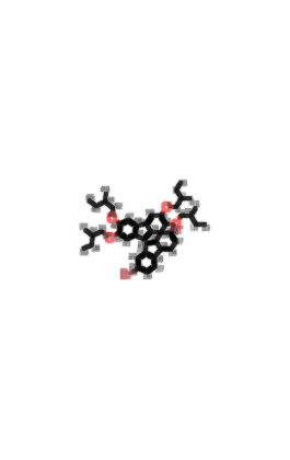 CCC(C)COC1=C(OCC(C)CC)C2(C(Br)=CC=C3C2=Cc2cc(Br)ccc23)C2=Cc3cc(OCC(C)CC)c(OCC(C)CC)cc3C2=C1